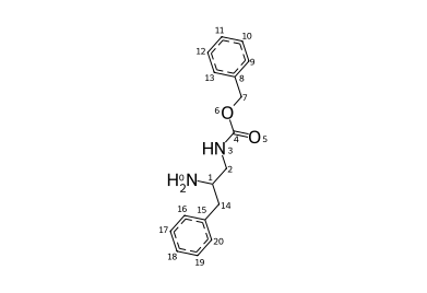 NC(CNC(=O)OCc1ccccc1)Cc1ccccc1